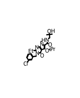 CCc1nc2c(c(OC(C)C)c(C(=O)NCC(C)(C)O)n2C)c(=O)n1Cc1cccc(Cl)c1